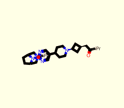 CC(C)C(=O)C[C@H]1C[C@@H](N2CCC(c3cnc(N4C5CCC4CN(C(C)C)C5)nc3)CC2)C1